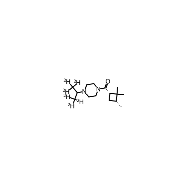 [2H]C([2H])([2H])C(N1CCN(C(=O)[C@H]2C[C@@H](C)C2(C)C)CC1)C([2H])([2H])[2H]